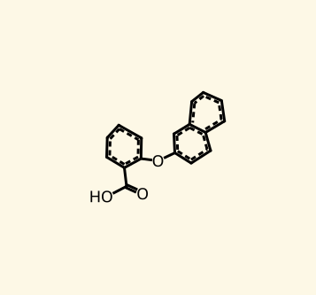 O=C(O)c1ccccc1Oc1ccc2ccccc2c1